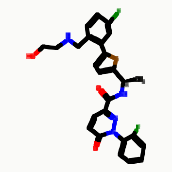 C[C@@H](NC(=O)c1ccc(=O)n(-c2ccccc2F)n1)c1ccc(-c2cc(F)ccc2CNCCO)s1